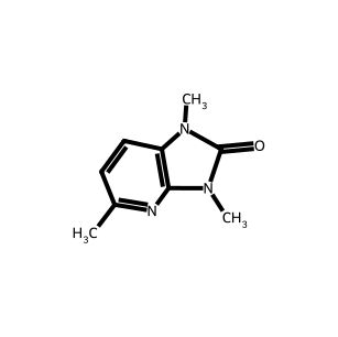 Cc1ccc2c(n1)n(C)c(=O)n2C